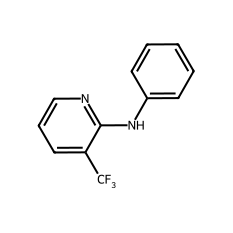 FC(F)(F)c1cccnc1Nc1ccccc1